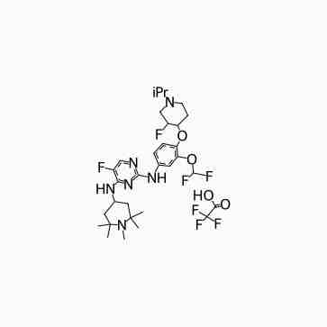 CC(C)N1CCC(Oc2ccc(Nc3ncc(F)c(NC4CC(C)(C)N(C)C(C)(C)C4)n3)cc2OC(F)F)C(F)C1.O=C(O)C(F)(F)F